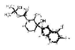 CC1N(C(=O)OC(C)(C)C)CCCC1(O)c1cc2c(Cl)c(F)cnc2s1